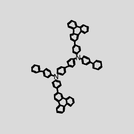 c1ccc(-c2ccc(N(c3ccc(-c4ccc(N(c5ccc(-c6ccccc6)cc5)c5ccc(-c6ccc7c8ccccc8c8ccccc8c7c6)cc5)cc4)cc3)c3ccc(-c4ccc5c6ccccc6c6ccccc6c5c4)cc3)cc2)cc1